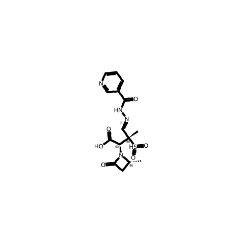 C[C@@H]1CC(=O)N1[C@@H](C(=O)O)[C@](C)(/C=N/NC(=O)c1cccnc1)[SH](=O)=O